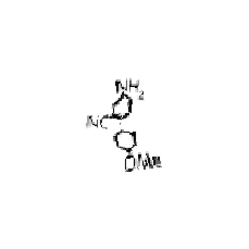 CO[C@H]1CC[C@H](c2ccc(N)cc2C#N)CC1